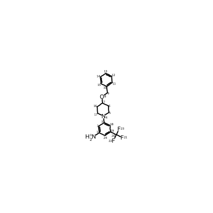 Nc1cc(N2CCC(OCc3ccccc3)CC2)cc(C(F)(F)F)c1